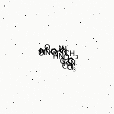 C[C@@H](OC(=O)Nc1c(-c2ccc(NC(=O)C3CCO3)cn2)nnn1C)c1cccnc1Cl